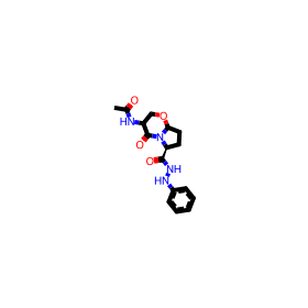 CC(=O)NC1COC2CC[C@@H](C(=O)NNc3ccccc3)N2C1=O